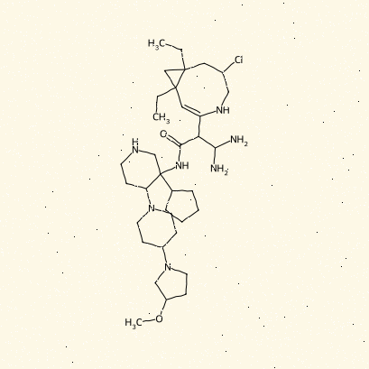 CCC12/C=C(/C(C(=O)NC3(C4CCCC4)CNCCC3N3CCC(N4CCC(OC)C4)CC3)C(N)N)NCC(Cl)CC1(CC)C2